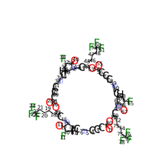 O=C1CCC/C=C\C[C@H]2C=C(F)C(=O)/C2=C/C[C@H](CCCCC(F)(F)F)OC(=O)CCC/C=C\C[C@H]2C=C(F)C(=O)/C2=C/C[C@H](CCCCC(F)(F)F)OC(=O)CCC/C=C\C[C@H]2C=C(F)C(=O)/C2=C/C[C@H](CCCCC(F)(F)F)O1